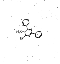 CC1C(c2ccccc2)=NC(c2ccccc2)=NC1Br